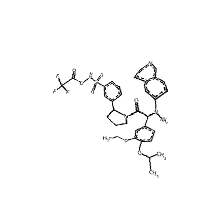 CCOc1cc(C(C(=O)N2CCCC2c2cccc(S(=O)(=O)NOC(=O)C(F)(F)F)c2)N(N)c2ccc3cnccc3c2)ccc1OC(C)C